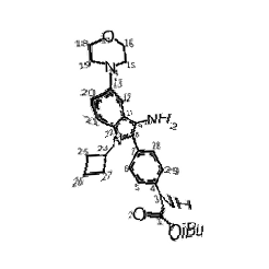 CC(C)COC(=O)Nc1ccc(-c2c(N)c3cc(N4CCOCC4)ccc3n2C2CCC2)cc1